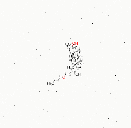 CCCCOCCCC(C)[C@H]1CC[C@H]2[C@@H]3CC[C@@H]4C[C@](C)(O)CC[C@@H]4[C@H]3CC[C@]12C